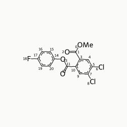 COC(=O)c1cc(Cl)c(Cl)cc1C(=O)Oc1ccc(F)cc1